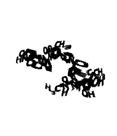 CCNC(=O)c1nnc(-c2cc(C(C)C)c(O)cc2O)n1-c1ccc(C(=O)N2CCN(c3cc(C)c4oc(=O)n(-c5cccc6c5CN(C5CCC(=O)NC5=O)C6=O)c4c3)CC2)cc1